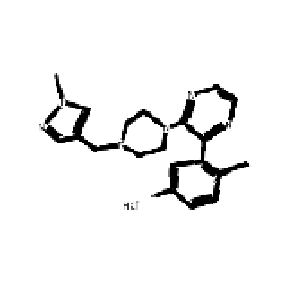 Cc1ccc(F)cc1-c1nccnc1N1CCN(Cc2cnn(C)c2)CC1.Cl